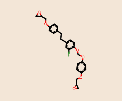 Fc1cc(CCc2ccc(OCC3CO3)cc2)ccc1OCOc1ccc(OCC2CO2)cc1